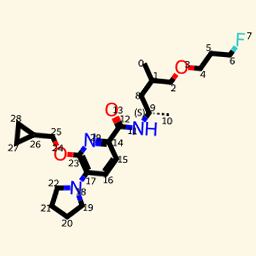 CC(COCCCF)C[C@H](C)NC(=O)c1ccc(N2CCCC2)c(OCC2CC2)n1